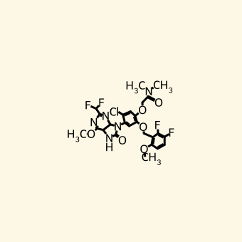 COC1=NC(C(F)F)=NC2C1NC(=O)N2c1cc(OCc2c(OC)ccc(F)c2F)c(OCC(=O)N(C)C)cc1Cl